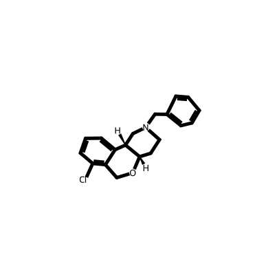 Clc1cccc2c1CO[C@H]1CCN(Cc3ccccc3)C[C@@H]21